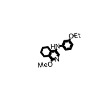 CCOc1cccc(Nc2cnc(OC)c3c2CCCC3)c1